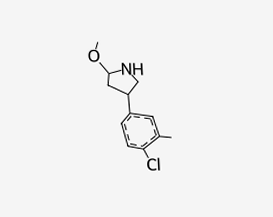 COC1CC(c2ccc(Cl)c(C)c2)CN1